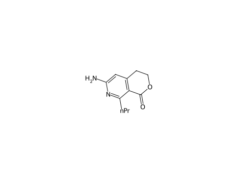 CCCc1nc(N)cc2c1C(=O)OCC2